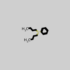 CCCC[S+](CCCC)c1ccccc1